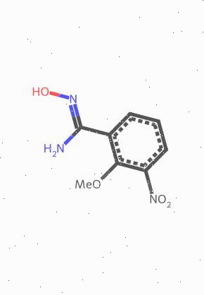 COc1c(/C(N)=N/O)cccc1[N+](=O)[O-]